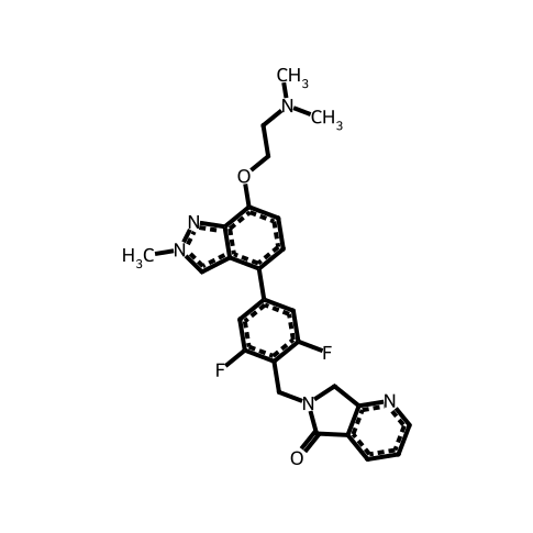 CN(C)CCOc1ccc(-c2cc(F)c(CN3Cc4ncccc4C3=O)c(F)c2)c2cn(C)nc12